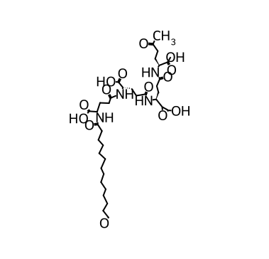 CC(=O)CC[C@H](NC(=O)CC[C@H](NC(=O)CC[C@H](NC(=O)CCC(NC(=O)CCCCCCCCCCCCC=O)C(=O)O)C(=O)O)C1OC1O)C(=O)O